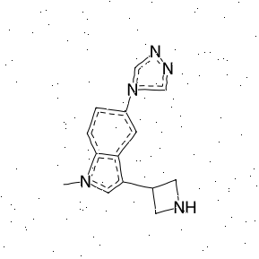 Cn1cc(C2CNC2)c2cc(-n3cnnc3)ccc21